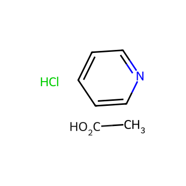 CC(=O)O.Cl.c1ccncc1